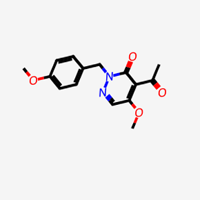 COc1ccc(Cn2ncc(OC)c(C(C)=O)c2=O)cc1